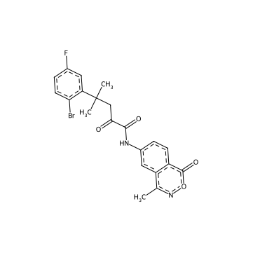 Cc1noc(=O)c2ccc(NC(=O)C(=O)CC(C)(C)c3cc(F)ccc3Br)cc12